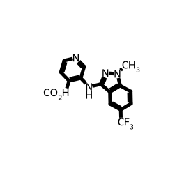 Cn1nc(Nc2cnccc2C(=O)O)c2cc(C(F)(F)F)ccc21